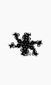 C=C(C)C(=O)OCCc1ccc(Oc2cc3c4c(cc(Oc5ccc(CCOC(=O)C(=C)C)cc5)c5c6c(Oc7ccc(CCOC(=O)C(=C)C)cc7)cc7c8c(cc(Oc9ccc(CCOC(=O)C(=C)C)cc9)c(c2c45)c86)C(=O)N(C(CC(C)C)C(=O)O)C7=O)C(=O)N(C(CC(C)C)C(=O)O)C3=O)cc1